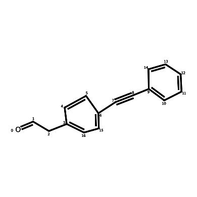 O=CCc1ccc(C#Cc2ccccc2)cc1